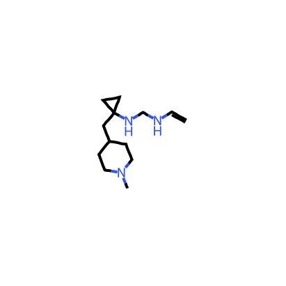 C=CNCNC1(CC2CCN(C)CC2)CC1